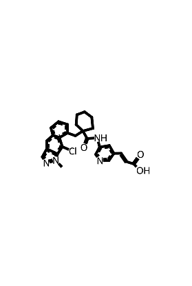 Cn1ncc2cc3cccc(CC4(C(=O)Nc5cncc(/C=C/C(=O)O)c5)CCCCC4)c3c(Cl)c21